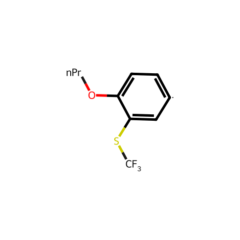 CCCOc1cc[c]cc1SC(F)(F)F